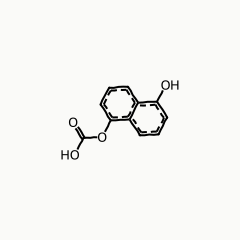 O=C(O)Oc1cccc2c(O)cccc12